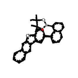 CC1(C)OB(c2cccc3cccc(-c4ccc5oc6cc7ccccc7cc6c5c4)c23)OC1(C)C